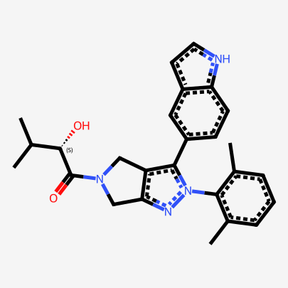 Cc1cccc(C)c1-n1nc2c(c1-c1ccc3[nH]ccc3c1)CN(C(=O)[C@@H](O)C(C)C)C2